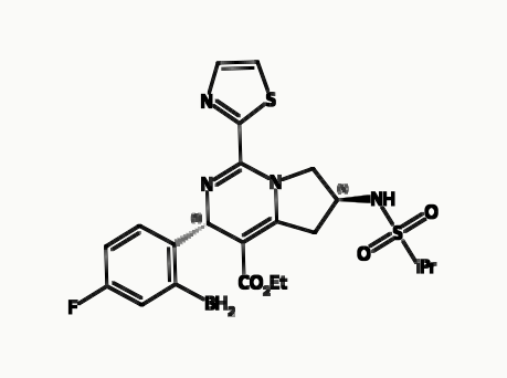 Bc1cc(F)ccc1[C@@H]1N=C(c2nccs2)N2C[C@@H](NS(=O)(=O)C(C)C)CC2=C1C(=O)OCC